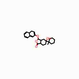 CC1(C2(O)CCC3C(=O)OC(OC4=CCC5C=CC=CC5=C4)C3C2)CCCCC1